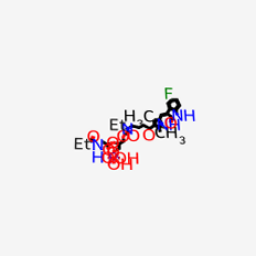 CCC(=O)NCC(=O)OC(COC(=O)N(CC)CCCC(=O)c1c(C)[nH]c(/C=C2\C(=O)Nc3ccc(F)cc32)c1C)COP(=O)(O)O